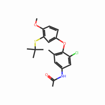 COc1ccc(Oc2c(C)cc(NC(C)=O)cc2Cl)cc1SC(C)(C)C